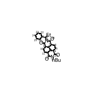 CCCCN1C(=O)c2ccc3c4c(ccc(c24)C1=O)C(=O)N(C(CC)c1ccccc1)C3=O